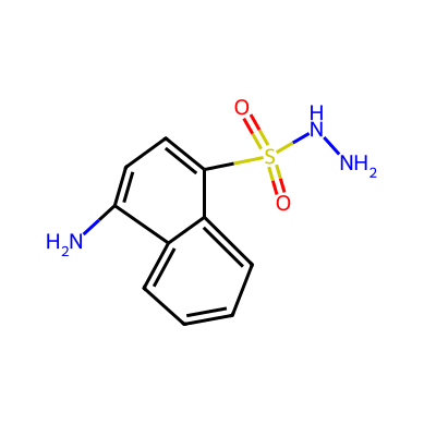 NNS(=O)(=O)c1ccc(N)c2ccccc12